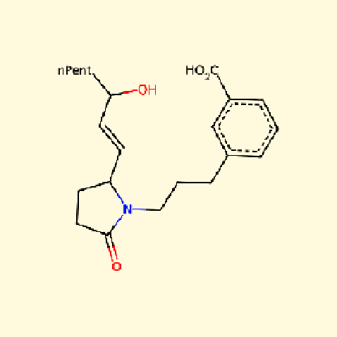 CCCCCC(O)C=CC1CCC(=O)N1CCCc1cccc(C(=O)O)c1